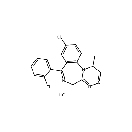 CC1C=NN=C2CN=C(c3ccccc3Cl)c3cc(Cl)ccc3N21.Cl